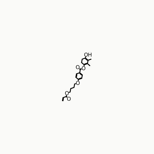 C=CC(=O)OCCCCOc1ccc(C(=O)OC2=C(C)C(C)=C(O)CC2)cc1